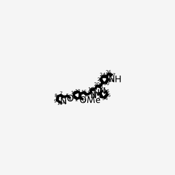 COc1cc(OCc2ccccn2)ccc1C=Cc1cc(C=Cc2ccc3cc[nH]c3c2)n(-c2ccccn2)n1